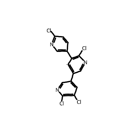 Clc1ccc(-c2[c]c(-c3cnc(Cl)c(Cl)c3)cnc2Cl)cn1